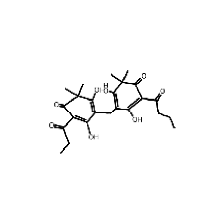 CCCC(=O)C1=C(O)C(CC2=C(O)C(C)(C)C(=O)C(C(=O)CC)=C2O)=C(O)C(C)(C)C1=O